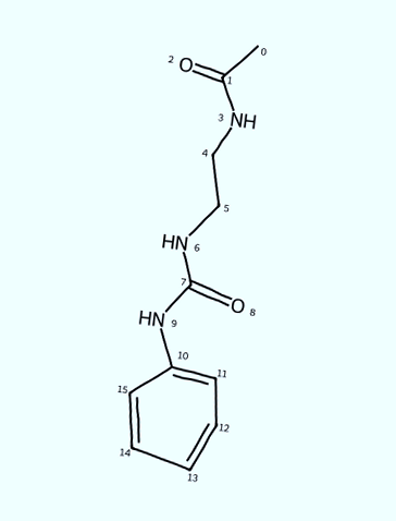 CC(=O)NCCNC(=O)Nc1ccccc1